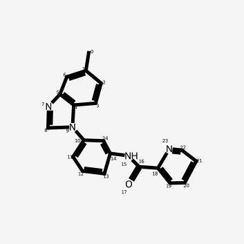 Cc1ccc2c(c1)ncn2-c1cccc(NC(=O)c2ccccn2)c1